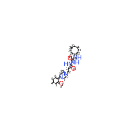 COc1ccccc1N1CCN(CCC(=O)NNC(=O)NC2CCCCCCC2)CC1